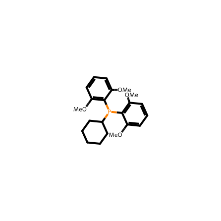 COc1cccc(OC)c1P(c1c(OC)cccc1OC)C1CCCCC1